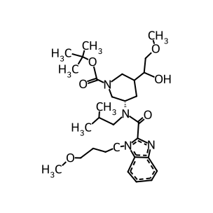 COCCCCn1c(C(=O)N(CC(C)C)[C@H]2CC(C(O)COC)CN(C(=O)OC(C)(C)C)C2)nc2ccccc21